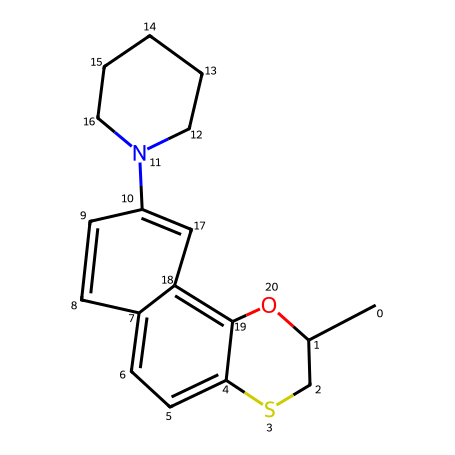 CC1CSc2ccc3ccc(N4CCCCC4)cc3c2O1